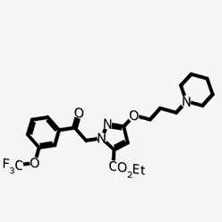 CCOC(=O)c1cc(OCCCN2CCCCC2)nn1CC(=O)c1cccc(OC(F)(F)F)c1